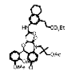 CCOC(=O)CCc1cc(NC(=O)C[C@H]2O[C@H](c3cccc(OC)c3OC)c3cc(Cl)ccc3N(CC(C)(C)COC(C)=O)C2=O)cc2c1CCCC2